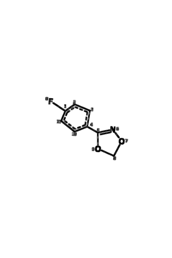 Fc1ccc(C2=NOCO2)cc1